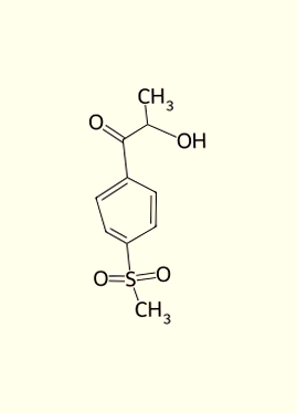 CC(O)C(=O)c1ccc(S(C)(=O)=O)cc1